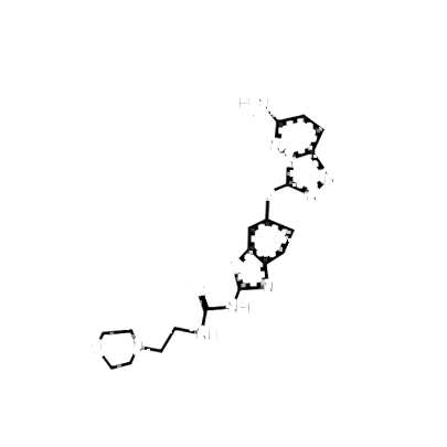 Nc1ccc2nnc(Sc3ccc4nc(NC(=O)NCCN5CCOCC5)sc4c3)n2n1